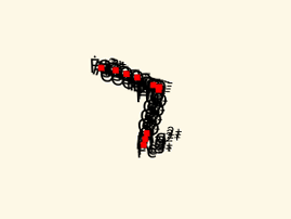 O=[Si]([O-])[O-].O=[Si]([O-])[O-].O=[Si]([O-])[O-].O=[Si]([O-])[O-].O=[Si]([O-])[O-].O=[Si]([O-])[O-].O=[Si]([O-])[O-].O=[Si]([O-])[O-].[Al+3].[Al+3].[Al+3].[Fe+3].[Fe+3].[Fe+3].[Mg+2].[Mg+2].[Mg+2].[OH-].[OH-].[OH-].[OH-].[OH-].[OH-].[OH-].[OH-]